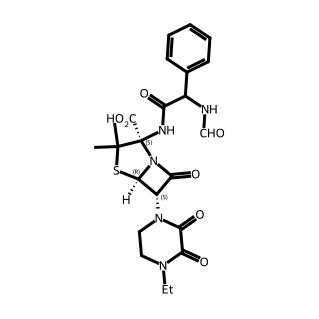 CCN1CCN([C@H]2C(=O)N3[C@@H]2SC(C)(C)[C@]3(NC(=O)C(NC=O)c2ccccc2)C(=O)O)C(=O)C1=O